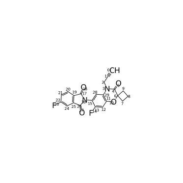 C#CCN1C(=O)C2(CCC2)Oc2cc(F)c(N3C(=O)c4ccc(F)cc4C3=O)cc21